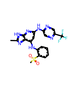 Cc1nc2c(Nc3ccccc3S(C)(=O)=O)cc(Nc3cnc(C(F)(F)F)cn3)nc2[nH]1